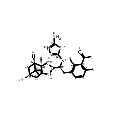 CC(=O)c1c(C)ccc(C[C@H](Sc2nnc(N)s2)B2OC3C[C@@H]4C[C@@H](C4(C)C)[C@]3(C)O2)c1C